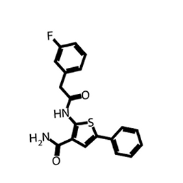 NC(=O)c1cc(-c2ccccc2)sc1NC(=O)Cc1cccc(F)c1